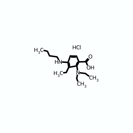 CCCCNc1ccc(C(=O)O)c(N(CC)CC)c1CC.Cl